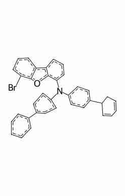 Brc1cccc2c1oc1c(N(c3ccc(-c4ccccc4)cc3)c3ccc(C4C=CC=CC4)cc3)cccc12